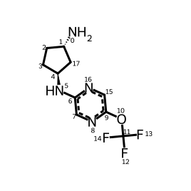 N[C@H]1CC[C@H](Nc2cnc(OC(F)(F)F)cn2)C1